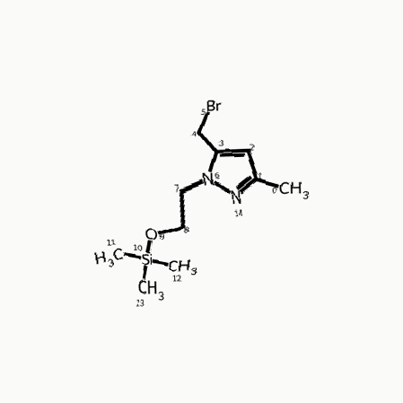 Cc1cc(CBr)n(CCO[Si](C)(C)C)n1